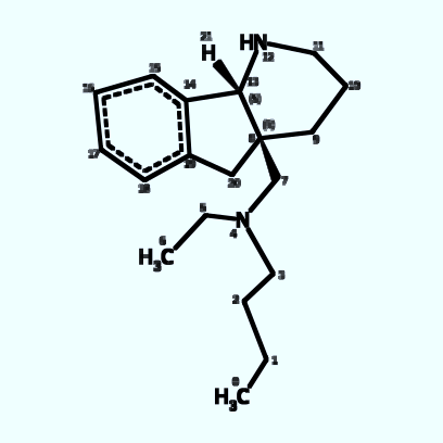 CCCCN(CC)C[C@]12CCCN[C@H]1c1ccccc1C2